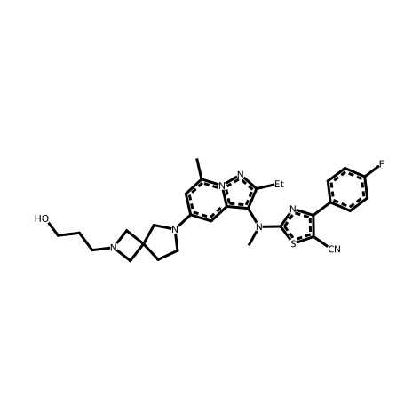 CCc1nn2c(C)cc(N3CCC4(CN(CCCO)C4)C3)cc2c1N(C)c1nc(-c2ccc(F)cc2)c(C#N)s1